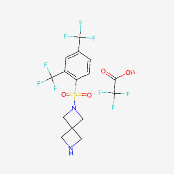 O=C(O)C(F)(F)F.O=S(=O)(c1ccc(C(F)(F)F)cc1C(F)(F)F)N1CC2(CNC2)C1